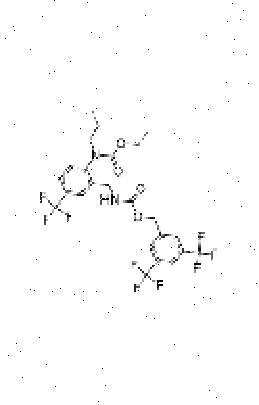 CCCN(C(=O)OCC)c1ccc(C(F)(F)F)cc1CNC(=O)OCc1cc(C(F)(F)F)cc(C(F)(F)F)c1